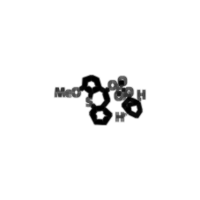 COc1cccc2c1Sc1ccccc1C=C2OP(=O)(O)O[C@H]1C[C@@H]2CC[C@H]1C2